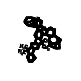 CC1(C)c2ccccc2-c2cc3c(cc21)-c1cc2c4c5c(ncc4n4c6cnc7c(c6c(c1C3(C)C)c24)C1CC2CC3CC7CC32C1)C1CC2CC(C1)CC5C2